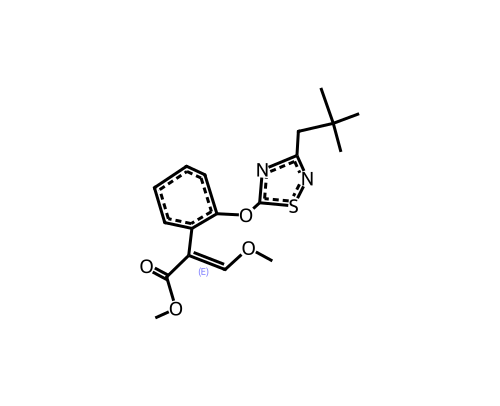 CO/C=C(/C(=O)OC)c1ccccc1Oc1nc(CC(C)(C)C)ns1